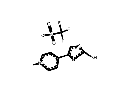 C[n+]1ccc(-c2csc(S)n2)cc1.O=S(=O)([O-])C(F)(F)F